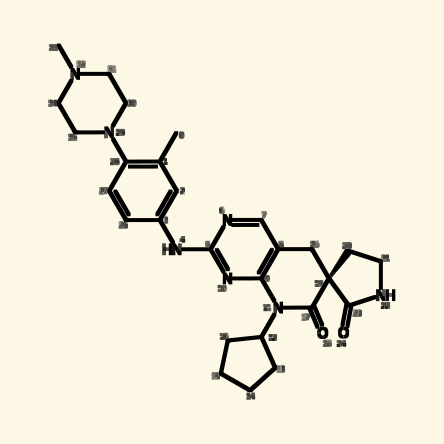 Cc1cc(Nc2ncc3c(n2)N(C2CCCC2)C(=O)[C@]2(CCNC2=O)C3)ccc1N1CCN(C)CC1